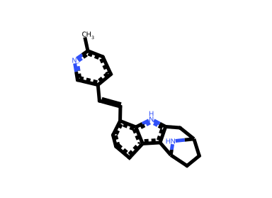 Cc1ccc(C=Cc2cccc3c4c([nH]c23)CC2CCC4N2)cn1